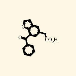 O=C(O)Cc1cc(C(=O)c2ccccc2)c2occc2c1